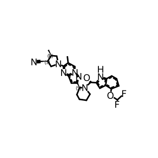 Cc1cn2nc([C@@H]3CCCCN3C(=O)c3cc4c(OC(F)F)cccc4[nH]3)cc2nc1N1C[C@@H](C#N)[C@@H](C)C1